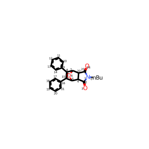 CCCCN1C(=O)C2C3OC(C(c4ccccc4)=C3c3ccccc3)C2C1=O